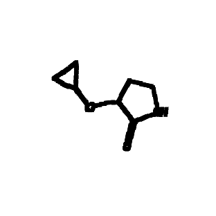 O=C1NCCC1OC1CC1